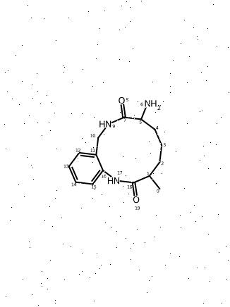 CC1CCCC(N)C(=O)NCc2ccccc2NC1=O